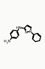 Nc1ccc(Nc2ccn(C3=CCCC=C3)n2)cc1